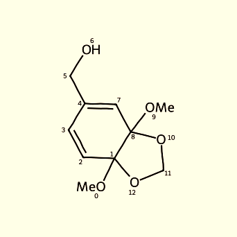 COC12C=CC(CO)=CC1(OC)OCO2